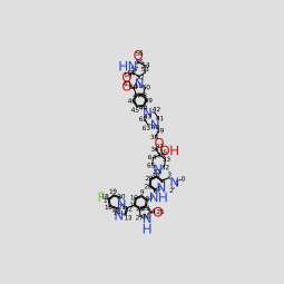 CN(C)Cc1nc(Nc2ccc(-c3cnc4cc(F)ccn34)c3c2C(=O)NC3)ccc1N1CCC(O)(COCCN2CCN(c3ccc4c(c3)CN(C3CCC(=O)NC3=O)C4=O)CC2)CC1